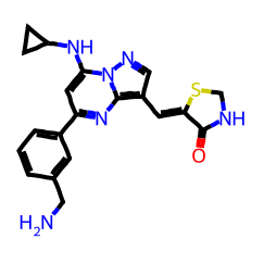 NCc1cccc(-c2cc(NC3CC3)n3ncc(/C=C4\SCNC4=O)c3n2)c1